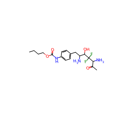 CCCCOC(=O)Nc1ccc(CC(N)C(O)C(F)(F)C(N)C(C)=O)cc1